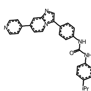 CC(C)c1ccc(NC(=O)Nc2ccc(-c3cnc4cc(-c5ccncc5)ccn34)cc2)cc1